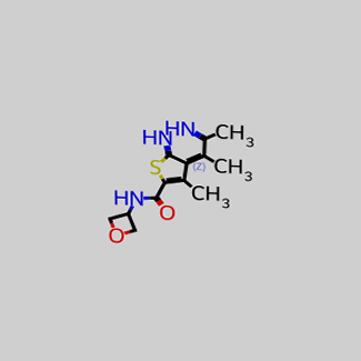 CC(=N)/C(C)=C1\C(=N)SC(C(=O)NC2COC2)=C1C